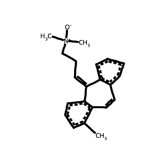 Cc1cccc2c1C=Cc1ccccc1C2=CCC[N+](C)(C)[O-]